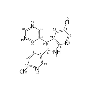 Clc1cnc2[nH]c(-c3ccc(Cl)nc3)c(-c3cncnc3)c2c1